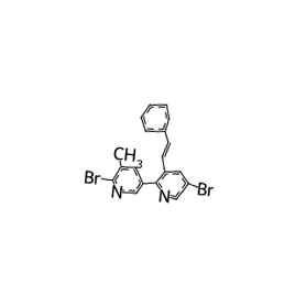 Cc1cc(-c2ncc(Br)cc2C=Cc2ccccc2)cnc1Br